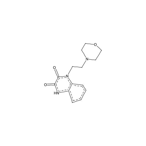 O=c1[nH]c2ccccc2n(CCN2CCOCC2)c1=O